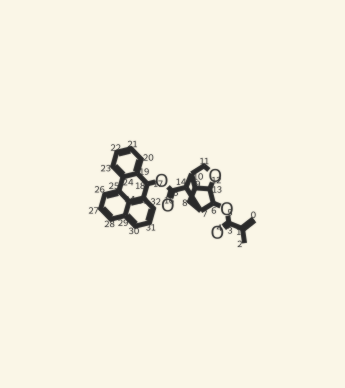 C=C(C)C(=O)OC1C2CC3C(COC31)C2C(=O)OC1c2ccccc2-c2cccc3cccc1c23